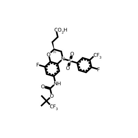 CC(C)(OC(=O)Nc1cc(F)c2c(c1)N(S(=O)(=O)c1ccc(F)c(C(F)(F)F)c1)C[C@H](CCC(=O)O)O2)C(F)(F)F